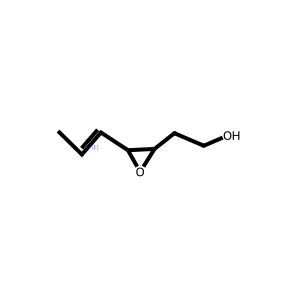 C/C=C/C1OC1CCO